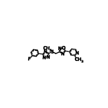 Cc1cc(-c2nc(CSc3nnc(-c4cccc(F)c4)n3C)no2)ccn1